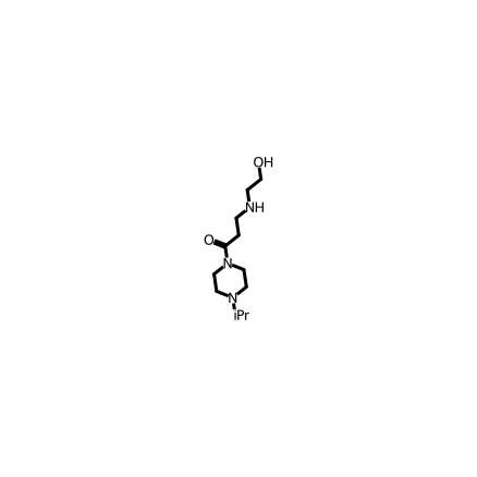 CC(C)N1CCN(C(=O)CCNCCO)CC1